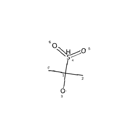 CC(C)([O])[SH](=O)=O